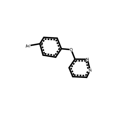 CC(=O)c1ccc(Oc2cccnn2)cc1